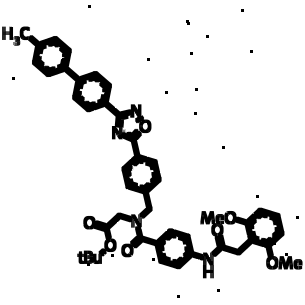 COc1cccc(OC)c1CC(=O)Nc1ccc(C(=O)N(CC(=O)OC(C)(C)C)Cc2ccc(-c3nc(-c4ccc(-c5ccc(C)cc5)cc4)no3)cc2)cc1